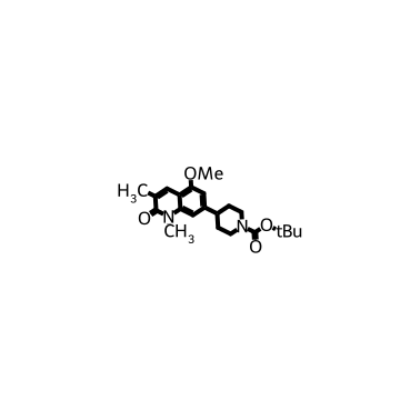 COc1cc(C2CCN(C(=O)OC(C)(C)C)CC2)cc2c1cc(C)c(=O)n2C